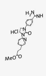 COC(=O)CCc1ccc(N2CCN(c3ccc(C(=N)N)cc3)C2=O)nc1.Cl